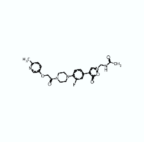 CC(=O)NCn1cc(-c2ccc(N3CCN(C(=O)COc4ccc(C)nc4)CC3)c(F)c2)c(=O)o1